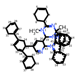 CN1C(C2CC=CCC2)=NC(C)(c2ccccc2)NC1C1C=C(C2CC(C3=CC=CCC3)=CC=C2C2=CC=CCC2)C=NC1n1c2ccccc2c2ccccc21